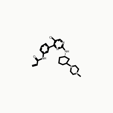 C=CC(=O)Nc1cccc(-c2nc(N[C@H]3CCCC(N4CCN(C)CC4)C3)ncc2Cl)c1